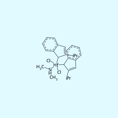 CC(C)C1=Cc2ccccc2[CH]1[Hf]([Cl])([Cl])([CH]1C(C(C)C)=Cc2ccccc21)[SiH](C)C